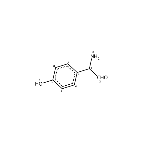 NC(C=O)c1c[c]c(O)cc1